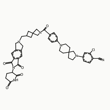 N#Cc1ccc(N2CCC3(CCN(c4ccc(C(=O)N5CC6(CC(CN7Cc8cc9c(cc8C7)C(=O)N(C7CCC(=O)NC7=O)C9=O)C6)C5)cc4)CC3)C2)cc1Cl